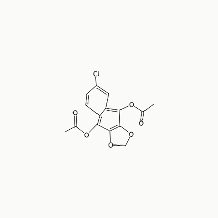 CC(=O)Oc1c2c(c(OC(C)=O)c3cc(Cl)ccc13)OCO2